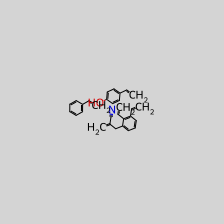 C=Cc1ccc(O)cc1.C=Cc1cccc(CC(=C)C#N)c1C=C.C=Cc1ccccc1